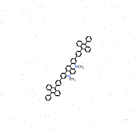 CN1c2cc(-c3ccc(-c4c5ccccc5c(-c5ccccc5)c5ccccc45)cc3)ccc2-c2ccc3c4c(ccc1c24)N(C)c1cc(-c2ccc(-c4c5ccccc5c(-c5ccccc5)c5ccccc45)cc2)ccc1-3